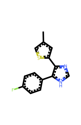 Cc1csc(-c2nc[nH]c2-c2ccc(F)cc2)c1